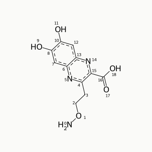 NOCCc1nc2cc(O)c(O)cc2nc1C(=O)O